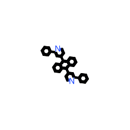 c1ccc(-c2cc(-c3c4ccccc4c(-c4ccnc(-c5ccccc5)c4)c4ccccc34)ccn2)cc1